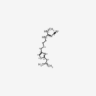 CNC(=NC#N)NCCSCc1csc(CN(C)C)n1